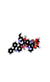 CCC1=C[C@H]2CN(C1)Cc1c([nH]c3ccc(N=C(c4ccccc4)c4ccccc4)cc13)[C@@](C(=O)OC)(c1cc3c(cc1OC)N(C)[C@@H]1C34CCN3CC=C[C@](CC)([C@H]34)[C@@H](OC(C)=O)[C@]1(O[Si](C)(C)C(C)(C)C)C(=O)OC)C2